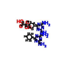 Nc1nc(N)nc(-c2ccccc2)n1.Nc1nc(N)nc(-c2ccccc2)n1.O=C(O)C(=O)O